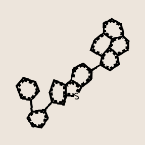 c1ccc(-c2ccccc2-c2ccc3c(c2)sc2cc(-c4ccc5ccc6cccc7ccc4c5c67)ccc23)cc1